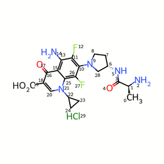 C[C@H](N)C(=O)N[C@H]1CCN(c2c(F)c(N)c3c(=O)c(C(=O)O)cn(C4CC4)c3c2F)C1.Cl